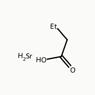 CCCC(=O)O.[SrH2]